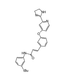 CC(C)(C)c1cccc(NC(=O)C=Cc2cccc(Oc3ccnc(C4=NCCN4)c3)c2)c1